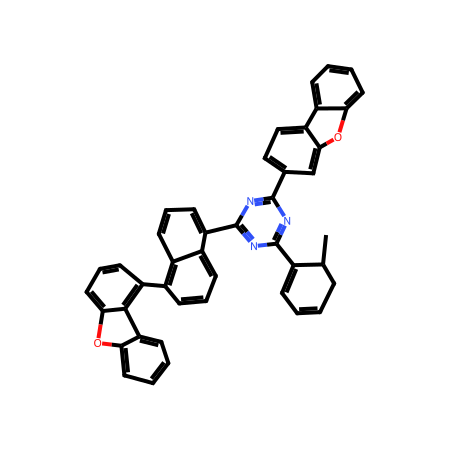 CC1CC=CC=C1c1nc(-c2ccc3c(c2)oc2ccccc23)nc(-c2cccc3c(-c4cccc5oc6ccccc6c45)cccc23)n1